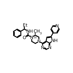 CCC(NC(=O)N1CCN(c2ncnc3[nH]c(-c4ccncc4)cc23)C[C@@H]1C)c1ccccc1